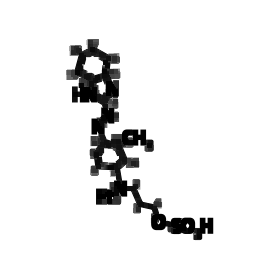 CCN(CCCOS(=O)(=O)O)c1ccc(/N=N/c2nc3ccccc3[nH]2)c(C)c1